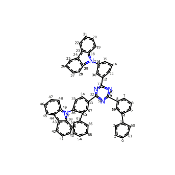 c1ccc(-c2cccc(-c3nc(-c4cccc(-n5c6ccccc6c6ccccc65)c4)nc(-c4ccc(-n5c6ccccc6c6ccccc65)c(-c5ccccc5)c4)n3)c2)cc1